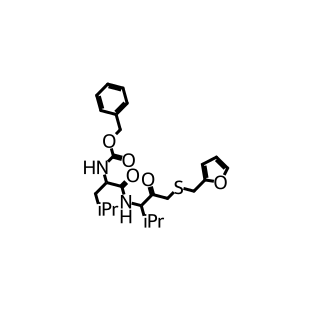 CC(C)CC(NC(=O)OCc1ccccc1)C(=O)NC(C(=O)CSCc1ccco1)C(C)C